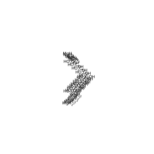 O=C(O)O.O=C(O)O.O=C(O)O.O=C(O)O.O=C(O)O.O=C(O)O.O=C(O)O.O=C(O)O.O=C(O)O.O=C(O)O.O=C(O)O.O=C(O)O.O=C(O)O.O=C(O)O.O=C(O)O.O=C(O)O.[MgH2].[MgH2].[MgH2].[MgH2].[MgH2].[MgH2].[MgH2].[MgH2].[MgH2].[MgH2].[MgH2].[MgH2].[MgH2]